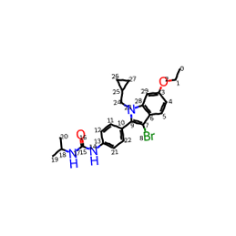 CCOc1ccc2c(Br)c(-c3ccc(NC(=O)NC(C)C)cc3)n(CC3CC3)c2c1